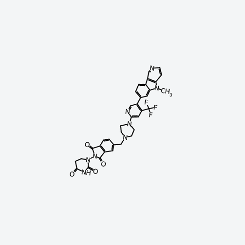 Cn1c2ccncc2c2ccc(-c3cnc(N4CCN(Cc5ccc6c(c5)C(=O)N(N5CCC(=O)NC5=O)C6=O)CC4)cc3C(F)(F)F)cc21